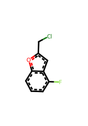 Fc1cccc2oc(CCl)cc12